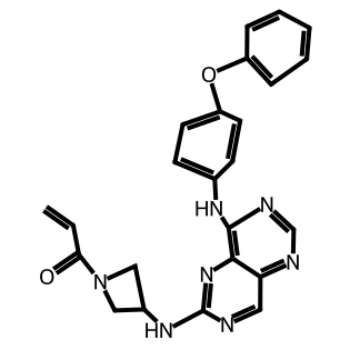 C=CC(=O)N1CC(Nc2ncc3ncnc(Nc4ccc(Oc5ccccc5)cc4)c3n2)C1